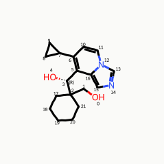 OCC1([C@H](O)c2c(C3CC3)ccn3cncc23)CCCCC1